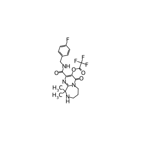 CC1(C)NCCCn2c1nc(C(=O)NCc1ccc(F)cc1)c(OC(=O)C(F)(F)F)c2=O